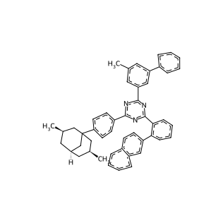 Cc1cc(-c2ccccc2)cc(-c2nc(-c3ccc(C45C[C@H](C)C[C@H](C[C@H](C)C4)C5)cc3)nc(-c3ccccc3-c3ccc4ccccc4c3)n2)c1